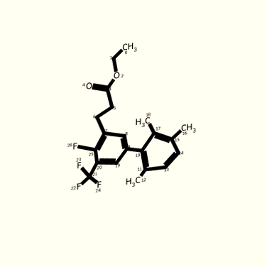 CCOC(=O)CCc1cc(-c2c(C)ccc(C)c2C)cc(C(F)(F)F)c1F